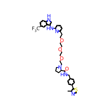 Cc1ncsc1-c1ccc(CNC(=O)C2CCCN2CCOCCOCCOCCc2cccc(Nc3c[nH]c4ccc(C(F)(F)F)cc34)n2)cc1